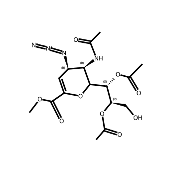 COC(=O)C1=C[C@@H](N=[N+]=[N-])[C@@H](NC(C)=O)C([C@H](OC(C)=O)[C@@H](CO)OC(C)=O)O1